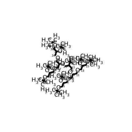 CC(C)(C)OCC(COCC(COCC(COC(C)(C)C)OC(C)(C)C)OCC(COC(COCC(COC(C)(C)C)OC(C)(C)C)COCC(COC(C)(C)C)OC(C)(C)C)C(C)(C)C)OC(C)(C)C